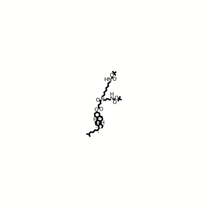 CC(C)CCC[C@@H](C)[C@H]1CC[C@H]2[C@@H]3CC=C4C[C@@H](OC(=O)CCC(=O)N(CCCCCCCCNC(=O)OC(C)(C)C)CCCNC(=O)OC(C)(C)C)CC[C@]4(C)[C@H]3CC[C@]12C